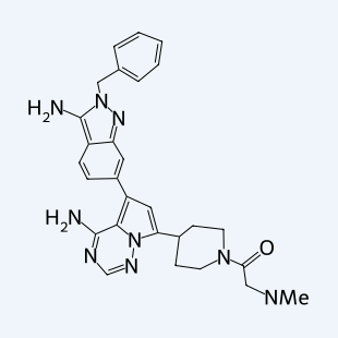 CNCC(=O)N1CCC(c2cc(-c3ccc4c(N)n(Cc5ccccc5)nc4c3)c3c(N)ncnn23)CC1